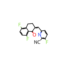 N#Cc1nc(C=C2CCc3c(F)ccc(F)c3C2=O)ccc1F